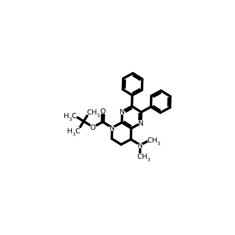 CN(C)C1CCN(C(=O)OC(C)(C)C)c2nc(-c3ccccc3)c(-c3ccccc3)nc21